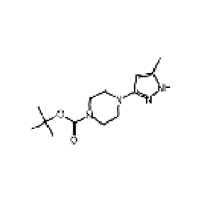 Cc1cc(N2CCN(C(=O)OC(C)(C)C)CC2)n[nH]1